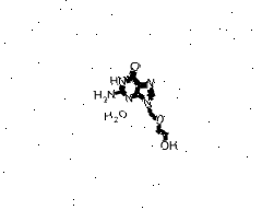 Nc1nc2c(ncn2COCCO)c(=O)[nH]1.O